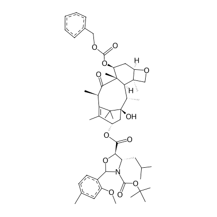 COc1cc(C)ccc1C1O[C@@H](C(=O)O[C@H]2C[C@@]3(O)[C@@H](C)[C@@H]4[C@]5(C)CO[C@@H]5C[C@H](OC(=O)OCc5ccccc5)[C@@]4(C)C(=O)[C@H](C)C(=C2C)C3(C)C)[C@H](CC(C)C)N1C(=O)OC(C)(C)C